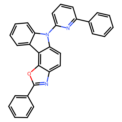 c1ccc(-c2cccc(-n3c4ccccc4c4c5oc(-c6ccccc6)nc5ccc43)n2)cc1